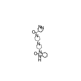 O=C(c1ccnnc1)N1CCC(N2CCC(n3c(=O)[nH]c4ccccc43)CC2)CC1